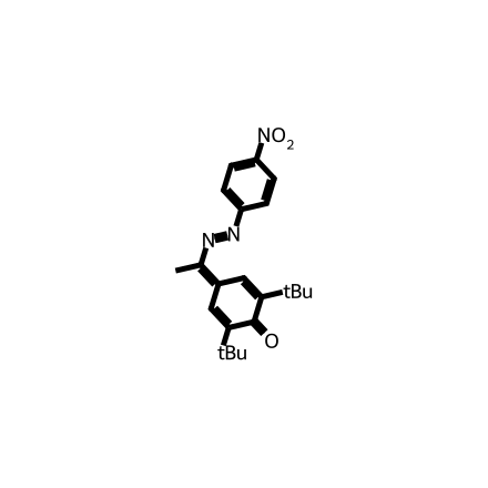 CC(N=Nc1ccc([N+](=O)[O-])cc1)=C1C=C(C(C)(C)C)C(=O)C(C(C)(C)C)=C1